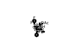 C=C[C@H](C)NC(=O)c1c(OCc2ccccc2)c(=O)c(C(=O)NCc2ccc(F)cc2F)cn1N[C@@H](C=C)COC(C)=O